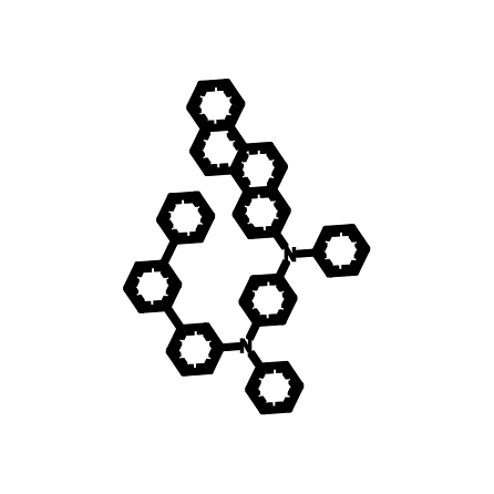 c1ccc(-c2cccc(-c3cccc(N(c4ccccc4)c4ccc(N(c5ccccc5)c5ccc6c(ccc7c8ccccc8ccc67)c5)cc4)c3)c2)cc1